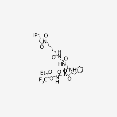 CCC(=O)C(OCNC(=O)CNC(=O)C(Cc1ccccc1)NC(=O)CNC(=O)CNC(=O)CCCCCN1C(=O)CC(C(C)C)C1=O)C(F)(F)F